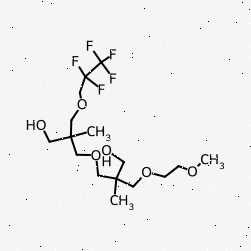 COCCOCC(C)(CO)COCC(C)(CO)COCC(F)(F)C(F)(F)F